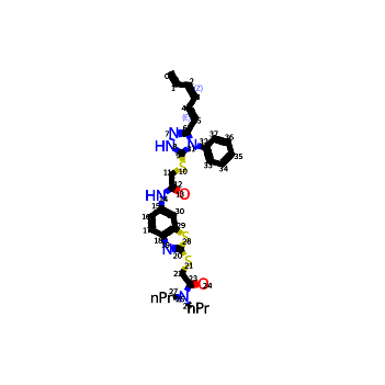 C=C/C=C\C=C\C1=NNC(SCC(=O)Nc2ccc3nc(SCC(=O)N(CCC)CCC)sc3c2)N1c1ccccc1